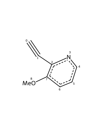 C#Cc1ncccc1OC